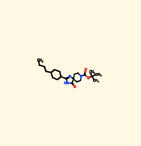 CCCCC1CCC(C2=NC3(CCN(C(=O)OC(C)(C)C)CC3)C(=O)N2)CC1